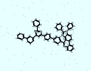 c1ccc(-c2cccc(-c3cc(-c4ccc(-c5ccc(-c6nc7ccccc7c7ccc8c(nc(-c9ccccc9)n8-c8ccccc8)c67)cc5)cc4)nc(-c4ccccc4)n3)c2)cc1